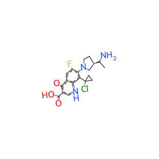 CC(N)[C@@H]1CCN(c2c(F)cc3c(=O)c(C(=O)O)c[nH]c3c2C2(Cl)CC2)C1